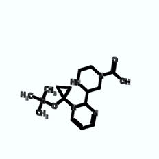 C[Si](C)(C)OC1(N2C=CC=NC2C2CN(C(=O)O)CCN2)CC1